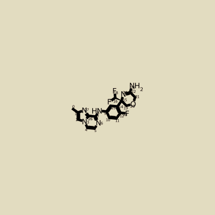 Cc1cn2ccnc(Nc3ccc(F)c([C@@]4(C(F)F)COCC(N)=N4)c3)c2n1